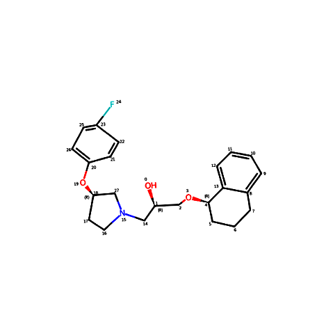 O[C@@H](CO[C@@H]1CCCc2ccccc21)CN1CC[C@@H](Oc2ccc(F)cc2)C1